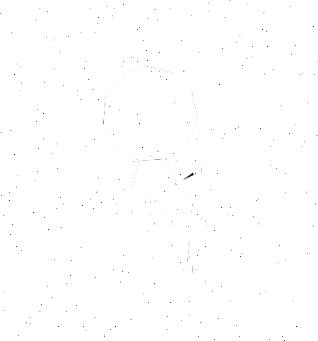 OC1OC2C1C1CC3CCCCCCCCCC3[C@@H]12